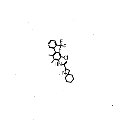 C=C(Nc1c(Cl)cc(-c2ccccc2C(F)(F)F)c(C)c1C)C1=NC2(CCCCC2)C1